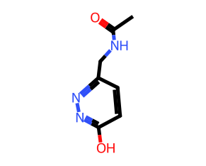 CC(=O)NCc1ccc(O)nn1